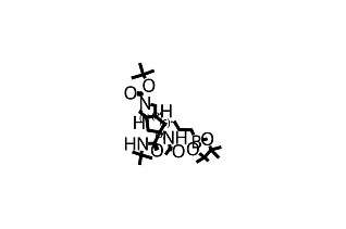 CC(=O)N[C@@]1(C(=O)NC(C)(C)C)C[C@H]2CN(C(=O)OC(C)(C)C)C[C@H]2[C@@H]1CCCB1OC(C)(C)C(C)(C)O1